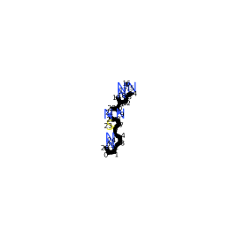 c1cc2ccc(-c3cc4nc(-c5cc6cncnn6c5)cnc4s3)nn2c1